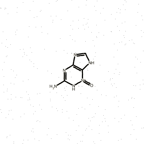 Nc1nc2nc[nH]c2[n+](=O)[nH]1